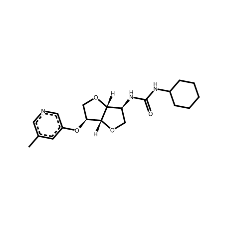 Cc1cncc(O[C@H]2CO[C@H]3[C@@H]2OC[C@@H]3NC(=O)NC2CCCCC2)c1